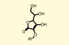 CC(C)OC1=C(O)C(C(O)CO)OC1=O